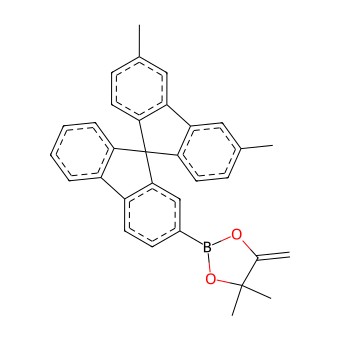 C=C1OB(c2ccc3c(c2)C2(c4ccccc4-3)c3ccc(C)cc3-c3cc(C)ccc32)OC1(C)C